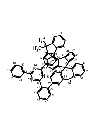 CC1(C)c2ccccc2-c2ccc(-c3nc(-c4ccccc4)nc(-c4ccccc4-c4ccc5c(c4)Sc4ccccc4C54c5ccccc5-c5ccccc54)n3)cc21